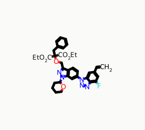 C=Cc1cc(F)c2nnn(-c3ccc4c(COC(Cc5ccccc5)(C(=O)OCC)C(=O)OCC)nn(C5CCCCO5)c4c3)c2c1